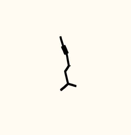 CC#C[CH]CC(C)C